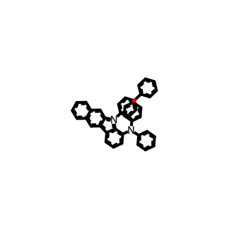 c1ccc(-c2ccc(-n3c4cc5ccccc5cc4c4cccc(N(c5ccccc5)c5ccccc5)c43)cc2)cc1